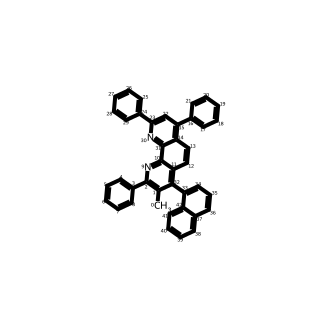 Cc1c(-c2ccccc2)nc2c(ccc3c(-c4ccccc4)cc(-c4ccccc4)nc32)c1-c1cccc2ccccc12